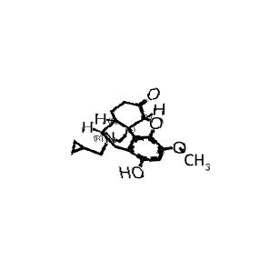 COc1cc(O)c2c3c1O[C@H]1C(=O)CC[C@H]4[C@@H](C2)N(CC2CC2)CC[C@]314